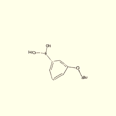 CCC(C)Oc1cccc(B(O)O)c1